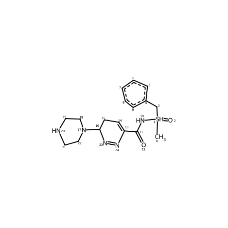 C[SH](=O)(Cc1ccccc1)NC(=O)C1=CCC(N2CCNCC2)N=N1